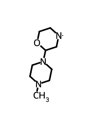 CN1CCN(C2C[N]CCO2)CC1